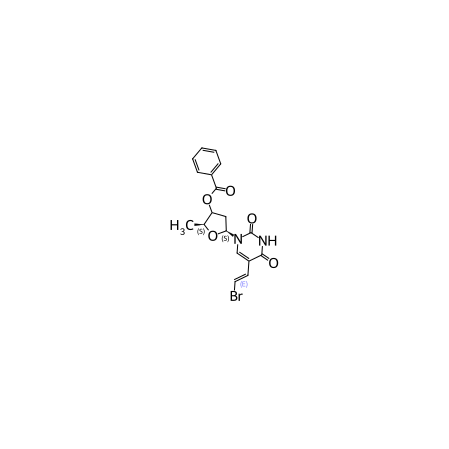 C[C@@H]1O[C@H](n2cc(/C=C/Br)c(=O)[nH]c2=O)CC1OC(=O)c1ccccc1